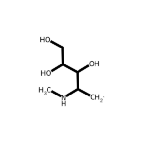 [CH2]C(NC)C(O)C(O)CO